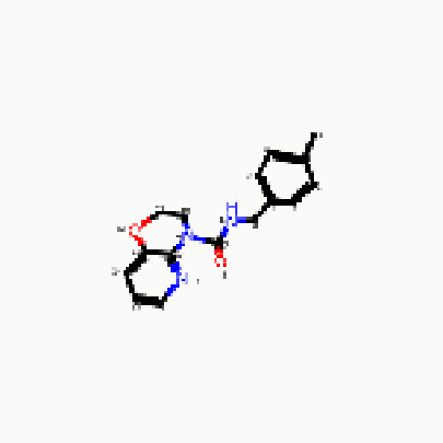 Cc1ccc(CNC(=O)N2CCOc3cccnc32)cc1